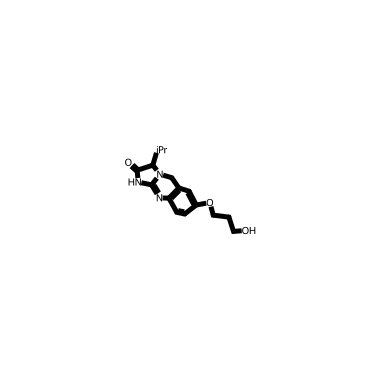 CC(C)C1C(=O)NC2=Nc3ccc(OCCCO)cc3CN21